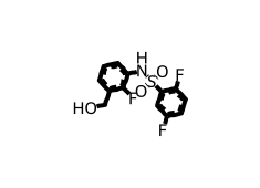 O=S(=O)(Nc1cccc(CO)c1F)c1cc(F)ccc1F